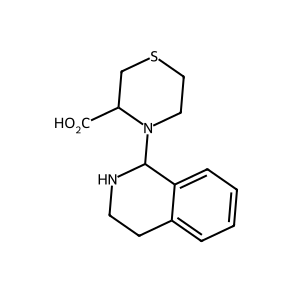 O=C(O)C1CSCCN1C1NCCc2ccccc21